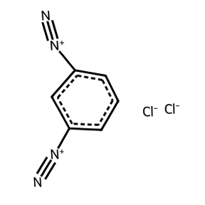 N#[N+]c1cccc([N+]#N)c1.[Cl-].[Cl-]